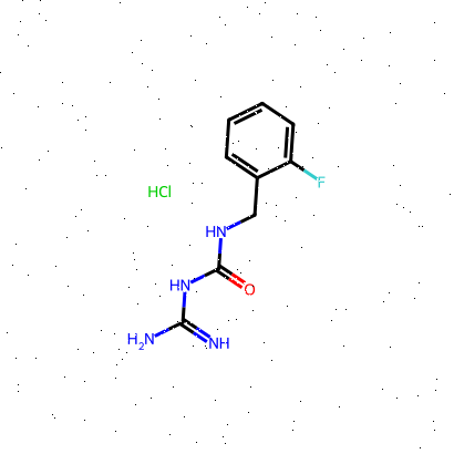 Cl.N=C(N)NC(=O)NCc1ccccc1F